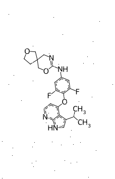 CC(C)c1c[nH]c2nccc(Oc3c(F)cc(NC4=NCC5(CCOC5)CO4)cc3F)c12